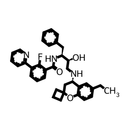 CCc1ccc2c(c1)[C@@H](NC[C@H](O)[C@H](Cc1ccccc1)NC(=O)c1cccc(-c3ccccn3)c1F)CC1(CCC1)O2